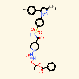 Cc1ccc(-c2cc(C(F)(F)F)nn2-c2ccc(S(=O)(=O)NC(=O)C3CCN(/[N+]([O-])=N/OC(C)OC(=O)c4ccccc4)CC3)cc2)cc1